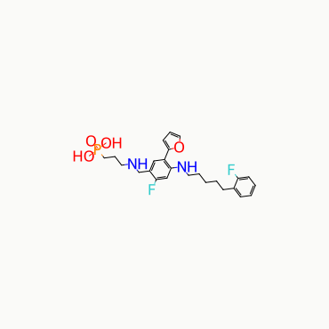 O=P(O)(O)CCCNCc1cc(-c2ccco2)c(NCCCCCc2ccccc2F)cc1F